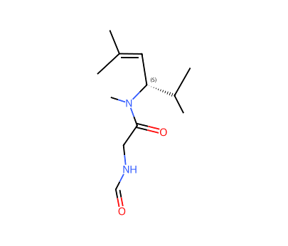 CC(C)=C[C@H](C(C)C)N(C)C(=O)CNC=O